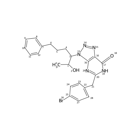 CC(O)C(CCCc1ccccc1)n1nnc2c(=O)[nH]c(Cc3ccc(Br)cc3)nc21